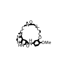 COc1ccc2cc1OCCCCCC(=O)N(C)CCCN(C)c1ncnc3c1/C(=C/N2)C(=O)N3